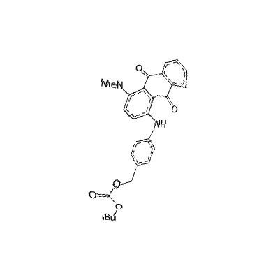 CCC(C)OC(=O)OCc1ccc(Nc2ccc(NC)c3c2C(=O)c2ccccc2C3=O)cc1